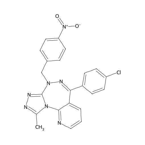 Cc1nnc2n1-c1ncccc1C(c1ccc(Cl)cc1)=NN2Cc1ccc([N+](=O)[O-])cc1